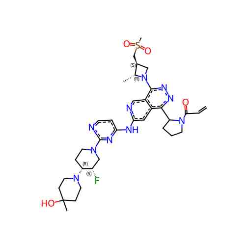 C=CC(=O)N1CCCC1c1nnc(N2C[C@H](CS(C)(=O)=O)[C@H]2C)c2cnc(Nc3ccnc(N4CC[C@@H](N5CCC(C)(O)CC5)[C@@H](F)C4)n3)cc12